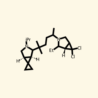 CCC1[C@@H]2C(CN1C(C)CCC(C)(C)C1[C@@H]3[C@H](CN1C(C)C)C31CC1)C2(Cl)Cl